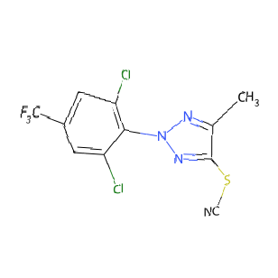 Cc1nn(-c2c(Cl)cc(C(F)(F)F)cc2Cl)nc1SC#N